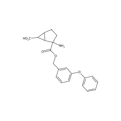 NC1(C(=O)OCc2cccc(Oc3ccccc3)c2)CCC2C(C(=O)O)C21